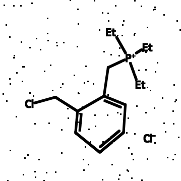 CC[P+](CC)(CC)Cc1ccccc1CCl.[Cl-]